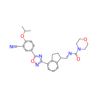 CC(C)Oc1ccc(-c2nc(-c3cccc4c3CCC4/C=N/C(=O)N3CCOCC3)no2)cc1C#N